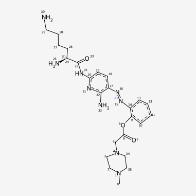 CN1CCN(CC(=O)Oc2ccccc2/N=N/c2ccc(NC(=O)[C@@H](N)CCCCN)nc2N)CC1